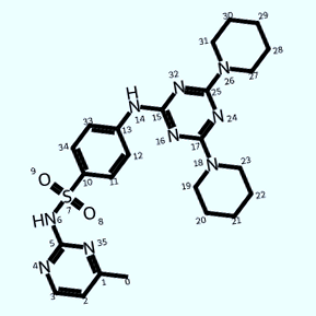 Cc1ccnc(NS(=O)(=O)c2ccc(Nc3nc(N4CCCCC4)nc(N4CCCCC4)n3)cc2)n1